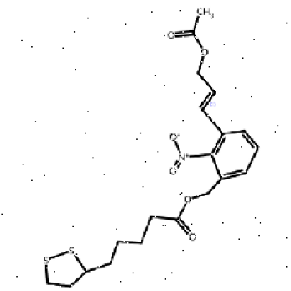 CC(=O)OC/C=C/c1cccc(COC(=O)CCCCC2CCSS2)c1[N+](=O)[O-]